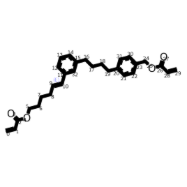 C=CC(=O)OCCCC/C=C/c1cccc(CCCCc2ccc(COC(=O)C=C)cc2)c1